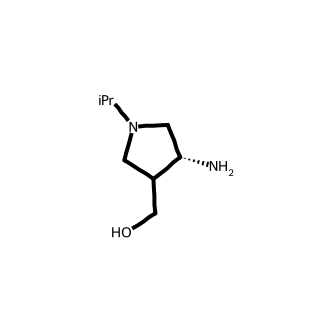 CC(C)N1CC(CO)[C@@H](N)C1